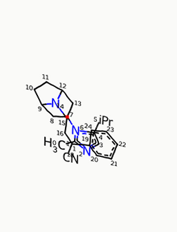 Cc1ncc(C(C)C)n1C1CC2CCC(C1)N2CCC(C#N)c1ccccc1